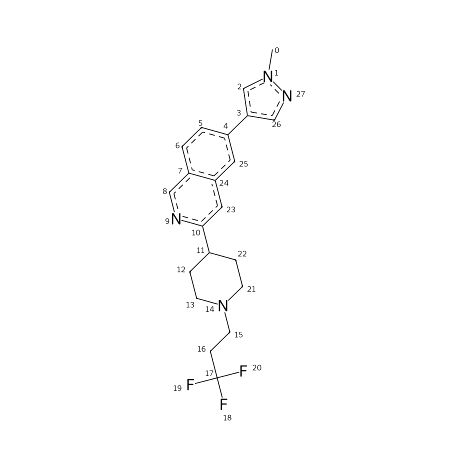 Cn1cc(-c2ccc3cnc(C4CCN(CCC(F)(F)F)CC4)cc3c2)cn1